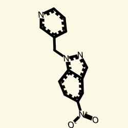 O=[N+]([O-])c1ccc2c(cnn2Cc2cccnc2)c1